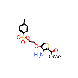 COC(=O)c1scc(OCCOS(=O)(=O)c2ccc(C)cc2)c1N